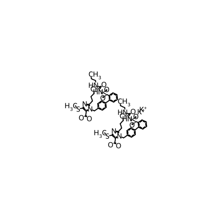 CCCCc1nc(SC)c(C(=O)[O-])n1Cc1ccc(-c2ccccc2S(=O)(=O)NC(=O)NCCC)cc1.CCCCc1nc(SC)c(C(=O)[O-])n1Cc1ccc(-c2ccccc2S(=O)(=O)NC(=O)NCCC)cc1.[K+].[K+]